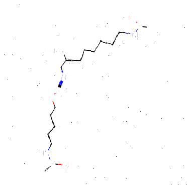 CCCCCCC(CCCCCCNB(C)O)C/N=B\OCCCCCNB(C)O